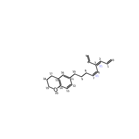 C=C/C=C(C=C)\C=C/CCCc1ccc2c(c1)CCCO2